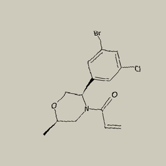 C=CC(=O)N1C[C@@H](C)OC[C@H]1c1cc(Cl)cc(Br)c1